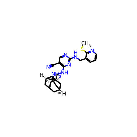 CSc1ncccc1CNc1ncc(C#N)c(NC[C@]23CC4C[C@H](C2)[C@@H](N)[C@@H](C4)C3)n1